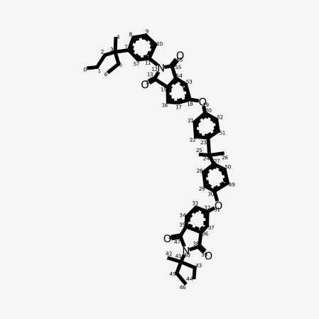 CCCC(C)(CC)c1cccc(N2C(=O)c3ccc(Oc4ccc(C(C)(C)c5ccc(Oc6ccc7c(c6)C(=O)N(C(C)(CC)CC)C7=O)cc5)cc4)cc3C2=O)c1